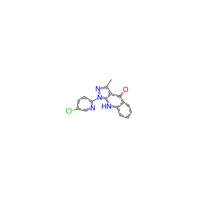 Cc1nn(-c2ccc(Cl)cn2)c2[nH]c3ccccc3c(=O)c12